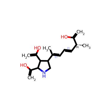 C=C(O)C1NCC(/C(C)=C/C=C/[C@@H](C)C(=C)O)C1C(=C)O